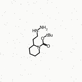 CC(C)(C)OC(=O)N1CCCCC1CCNN